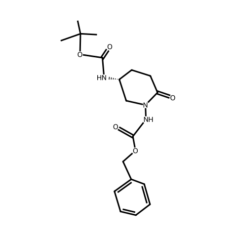 CC(C)(C)OC(=O)N[C@@H]1CCC(=O)N(NC(=O)OCc2ccccc2)C1